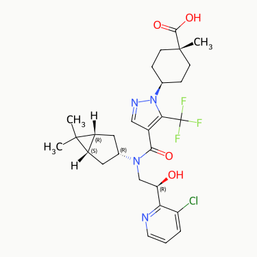 CC1(C)[C@@H]2C[C@H](N(C[C@@H](O)c3ncccc3Cl)C(=O)c3cnn([C@H]4CC[C@](C)(C(=O)O)CC4)c3C(F)(F)F)C[C@@H]21